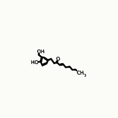 CCCCC/C=C/C(=O)CCc1ccc(O)c(CO)c1